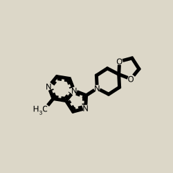 Cc1nccn2c(N3CCC4(CC3)OCCO4)ncc12